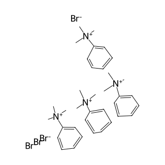 C[N+](C)(C)c1ccccc1.C[N+](C)(C)c1ccccc1.C[N+](C)(C)c1ccccc1.C[N+](C)(C)c1ccccc1.[Br-].[Br-].[Br-].[Br-]